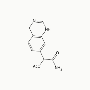 CC(=O)OC(C(N)=O)c1ccc2c(c1)NC=NC2